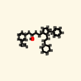 Cc1cccc(CC(=O)CCC2=CC=C(c3ccccc3)C2CCC2CCCCC2)c1